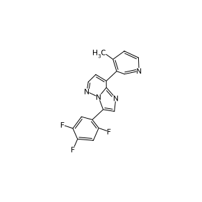 Cc1ccncc1-c1ccnn2c(-c3cc(F)c(F)cc3F)cnc12